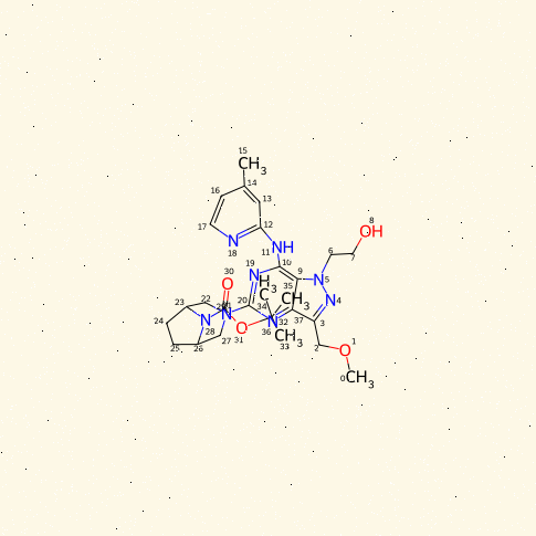 COCc1nn(CCO)c2c(Nc3cc(C)ccn3)nc(N3CC4CCC(C3)N4C(=O)OC(C)(C)C)nc12